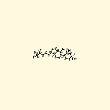 C[C@]1(O)CC[C@]2(C)C3CC[C@@]4(C)C(CC[C@@H]4CCCC(=O)C(F)(F)F)C3CC[C@H]2C1